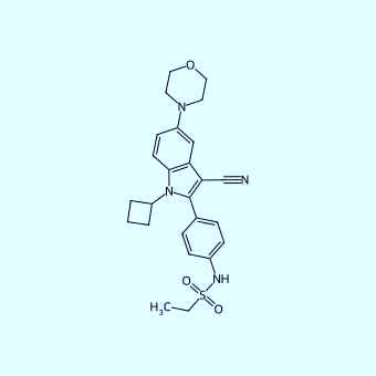 CCS(=O)(=O)Nc1ccc(-c2c(C#N)c3cc(N4CCOCC4)ccc3n2C2CCC2)cc1